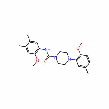 COc1cc(C)c(C)cc1NC(=S)N1CCN(c2cc(C)ccc2OC)CC1